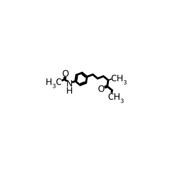 CCC(=O)[C@H](C)CCCc1ccc(NC(C)=O)cc1